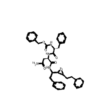 NC(=O)C[C@@H](NC(=O)[C@@H](Cc1ccccc1)NC(=O)OCc1ccccc1)C(=O)NC(Cc1ccccc1)C1OC1CCc1ccccc1